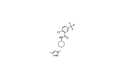 Cc1cnn(C[C@H]2CC[C@H](NC(=O)c3cc(C(F)(F)F)ccc3Cl)CC2)c1